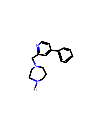 CCN1CCCN(Cc2cc(-c3ccccc3)ccn2)CC1